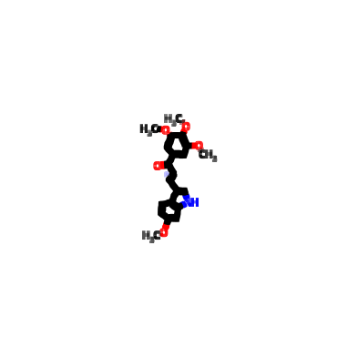 COc1ccc2c(/C=C/C(=O)c3cc(OC)c(OC)c(OC)c3)c[nH]c2c1